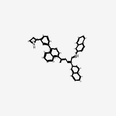 C/C(=C\C=C(/CNC1C=CC2CCC=CC2C1)C1C=C2C=CCCC2CC1)C1=c2ccccc2=C(c2cccc(C3CCN3)c2)CC1